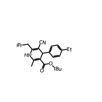 CCc1ccc(C2C(C#N)=C(CC(C)C)NC(C)=C2C(=O)OC(C)(C)C)cc1